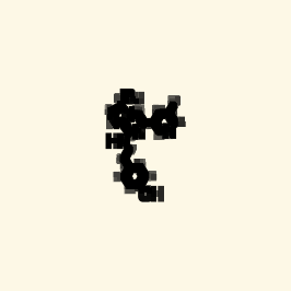 CCC(C)c1cnc2c(NCCc3ccc(O)cc3)nc(-c3cncc(C)c3)cn12